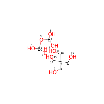 OB(O)OB(O)O.OCC(CO)(CO)CO